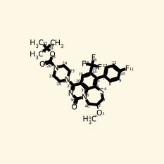 CO[C@H]1CSc2c(-c3ccc(F)cc3)c(C(F)(F)F)cc3c(N4CCN(C(=O)OC(C)(C)C)CC4)nc(=O)n(c23)C1